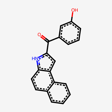 O=C(c1cccc(O)c1)c1cc2c(ccc3ccccc32)[nH]1